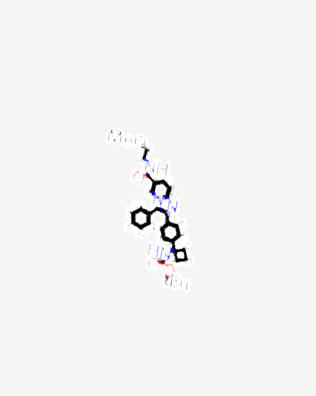 COCCNC(=O)c1ccc2nc(-c3ccc(C4(NC(=O)OC(C)(C)C)CCC4)cc3)c(-c3ccccc3)n2c1